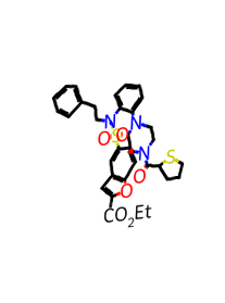 CCOC(=O)c1cc2cc(S(=O)(=O)N(CCc3ccccc3)c3ccccc3N3CCN(C(=O)C4CCCS4)CC3)ccc2o1